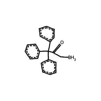 BCC(=O)C(c1ccccc1)(c1ccccc1)c1ccccc1